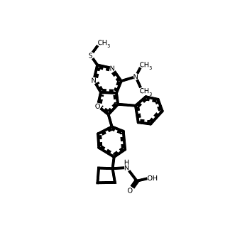 CSc1nc(N(C)C)c2c(-c3ccccc3)c(-c3ccc(C4(NC(=O)O)CCC4)cc3)oc2n1